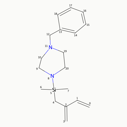 C=CC(=C)C[Si](C)(C)N1CCN(Cc2ccccc2)CC1